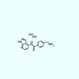 Cl.Cl.NCc1ccc(C(=O)Nc2ccnc3[nH]ncc23)cc1